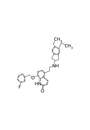 CCc1cc2c(cc1CC)CC(NCCc1ccc(OCc3cccc(F)c3)c3[nH]c(=O)ccc13)C2